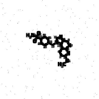 COc1ccc2c(ncc3ncn(Cc4ccc(S(N)(=O)=O)cc4)c32)n1